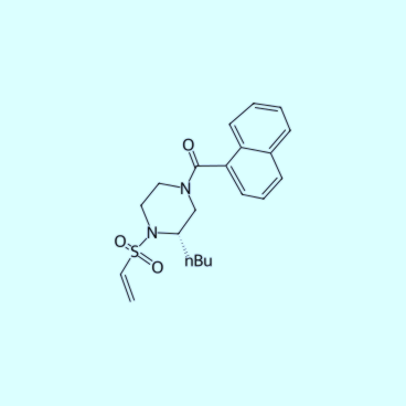 C=CS(=O)(=O)N1CCN(C(=O)c2cccc3ccccc23)C[C@@H]1CCCC